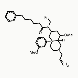 C=CCN1CC[C@@]2(c3cccc(OC)c3)C[C@@H](N(CC(C)C)C(=O)CCCCCc3ccccc3)CC(OC)[C@@H]2C1